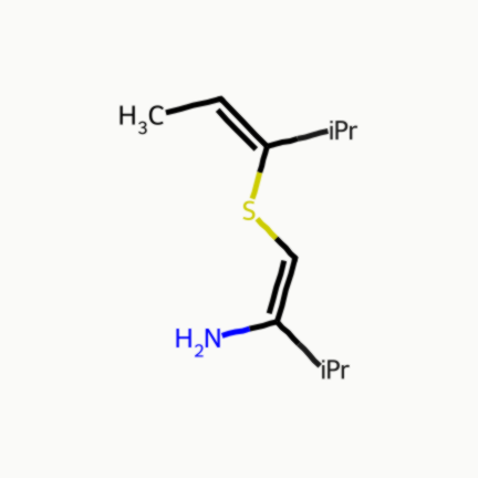 C/C=C(\S/C=C(\N)C(C)C)C(C)C